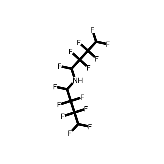 FC(F)C(F)(F)C(F)(F)C(F)NC(F)C(F)(F)C(F)(F)C(F)F